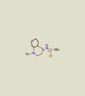 CC(=O)N1CC[C@@H](N[S@+]([O-])C(C)(C)C)c2ccccc21